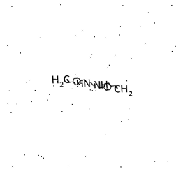 C=Cc1ccc(CNCCNCc2ccc(C=C)cc2)cc1